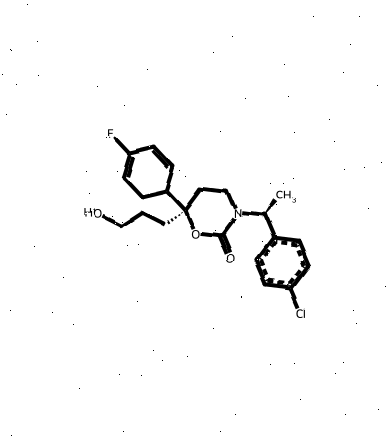 C[C@@H](c1ccc(Cl)cc1)N1CC[C@](CCCO)(C2C=CC(F)=CC2)OC1=O